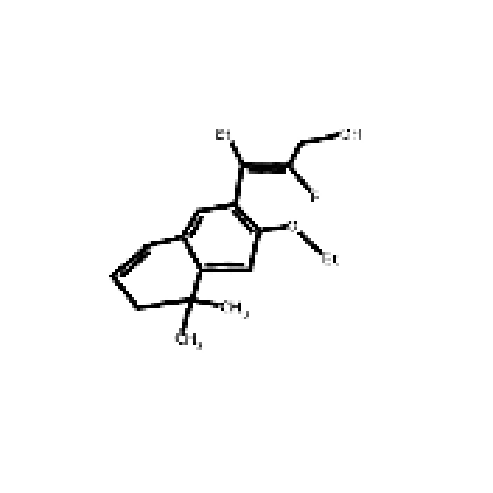 CCOc1cc2c(cc1C(CC)=C(F)CO)C=CCC2(C)C